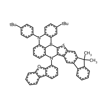 CC(C)(C)c1ccc(N2c3ccc(C(C)(C)C)cc3B3c4sc5cc6c(cc5c4N(c4cccc5c4oc4ccccc45)c4cccc2c43)-c2ccccc2C6(C)C)cc1